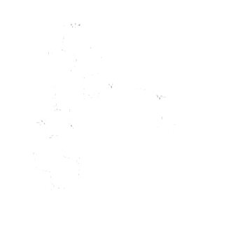 CC(=O)O.COC(=O)c1ccc2c(c1)c(-c1nc3c4c(ccc3[nH]c1=O)OCCO4)cn2CCCN